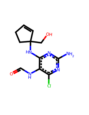 Nc1nc(Cl)c(NC=O)c(NC2(CO)C=CCC2)n1